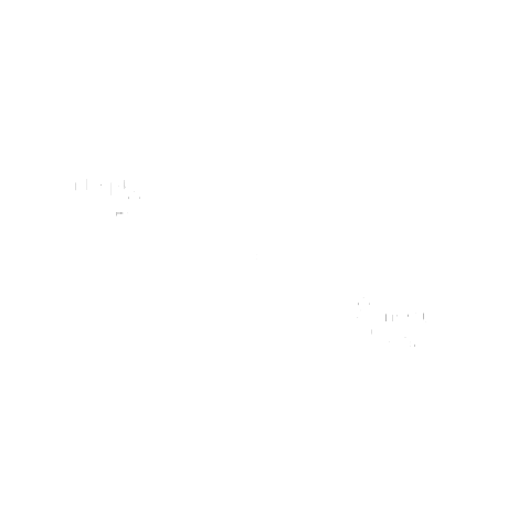 CCCCCCCCC(CCCCCCCC)OC(=O)CCCCCCCC(=O)CCCCCCCCCC(=O)OCCCCCCC